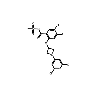 CS(=O)(=O)NC(=O)c1cc(Cl)c(F)cc1OC1CN(c2cc(Cl)cc(Cl)c2)C1